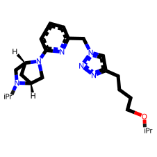 CC(C)OCCCCc1cn(Cc2cccc(N3C[C@H]4C[C@@H]3CN4C(C)C)n2)nn1